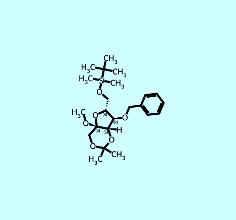 CO[C@]12COC(C)(C)O[C@H]1[C@H](OCc1ccccc1)[C@@H](CO[Si](C)(C)C(C)(C)C)O2